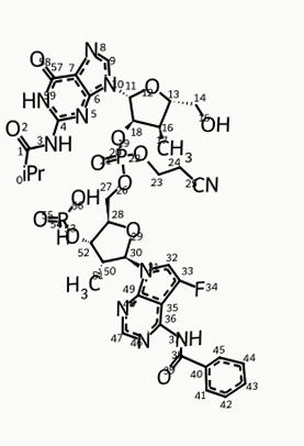 CC(C)C(=O)Nc1nc2c(ncn2[C@@H]2O[C@H](CO)[C@@H](C)[C@H]2OP(=O)(OCCC#N)OC[C@H]2O[C@@H](n3cc(F)c4c(NC(=O)c5ccccc5)ncnc43)[C@H](C)[C@@H]2O[PH](=O)O)c(=O)[nH]1